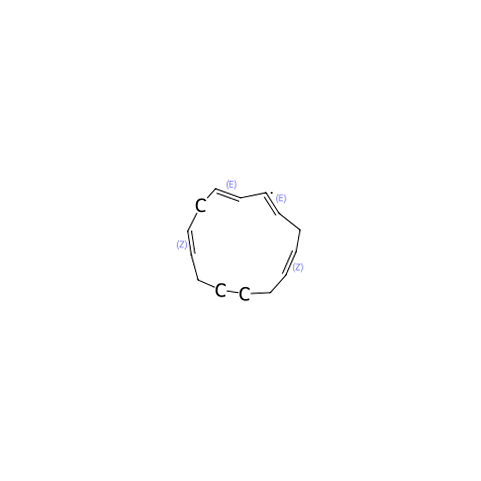 [C]1=C/C/C=C\CCCC/C=C\C/C=C/1